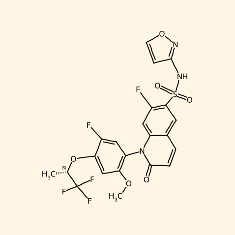 COc1cc(O[C@@H](C)C(F)(F)F)c(F)cc1-n1c(=O)ccc2cc(S(=O)(=O)Nc3ccon3)c(F)cc21